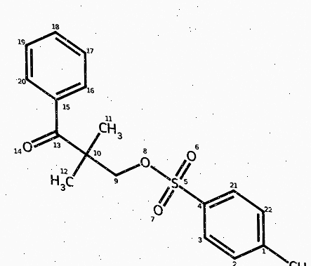 Cc1ccc(S(=O)(=O)OCC(C)(C)C(=O)c2ccccc2)cc1